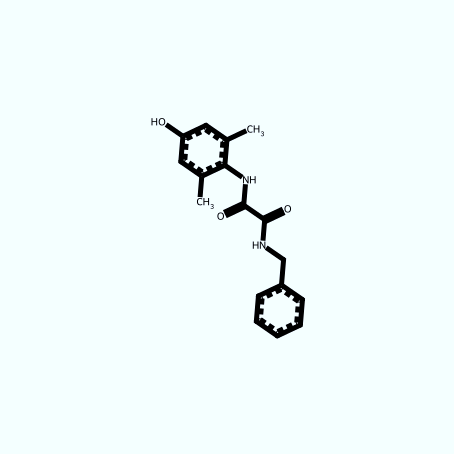 Cc1cc(O)cc(C)c1NC(=O)C(=O)NCc1ccccc1